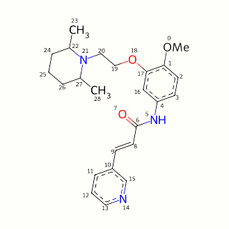 COc1ccc(NC(=O)C=Cc2cccnc2)cc1OCCN1C(C)CCCC1C